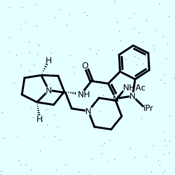 CC(=O)NC1CCCN(CCN2[C@@H]3CC[C@H]2C[C@H](NC(=O)c2nn(C(C)C)c4ccccc24)C3)C1